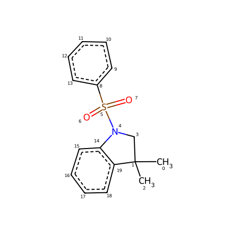 CC1(C)CN(S(=O)(=O)c2ccccc2)c2ccccc21